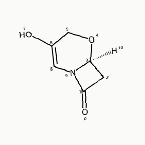 O=C1C[C@@H]2OCC(O)=CN12